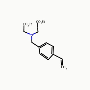 C=Cc1ccc(CN(CC(=O)OCC)CC(=O)OCC)cc1